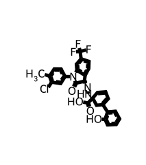 Cc1ccc(N2C(=O)C(=NNC3(C(=O)O)C=CC=C(c4ccccc4O)C3)c3ccc(C(F)(F)F)cc32)cc1Cl